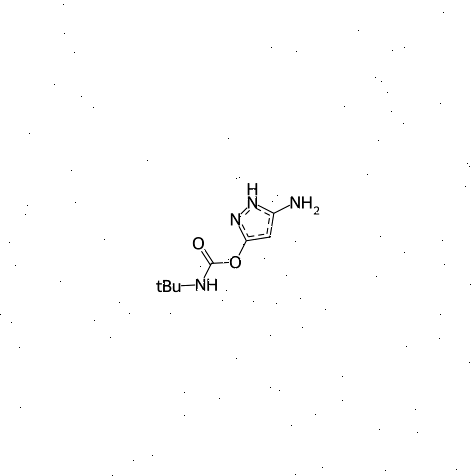 CC(C)(C)NC(=O)Oc1cc(N)[nH]n1